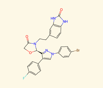 O=C1CO[C@H](c2nn(-c3ccc(Br)cc3)cc2-c2ccc(F)cc2)N1CCc1ccc2[nH]c(=O)[nH]c2c1